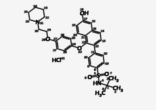 CC(C)(C)NS(=O)(=O)c1ccc(-c2ccc3cc(O)ccc3c2Oc2ccc(OCCN3CCCCC3)cc2)cc1.Cl